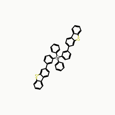 c1ccc([Si](c2ccccc2)(c2cccc(-c3ccc4c(c3)sc3ccccc34)c2)c2cccc(-c3ccc4c(c3)sc3ccccc34)c2)cc1